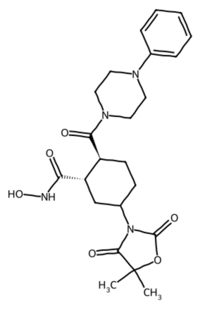 CC1(C)OC(=O)N(C2CC[C@H](C(=O)N3CCN(c4ccccc4)CC3)[C@@H](C(=O)NO)C2)C1=O